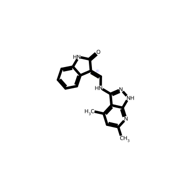 Cc1cc(C)c2c(N/C=C3/C(=O)Nc4ccccc43)n[nH]c2n1